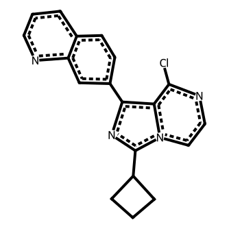 Clc1nccn2c(C3CCC3)nc(-c3ccc4cccnc4c3)c12